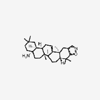 CC1(C)CC[C@]2(N)CC[C@]3(C)[C@H](CC=C4[C@@]5(C)Cc6cnoc6C(C)(C)[C@@H]5CC[C@]43C)[C@@H]2C1